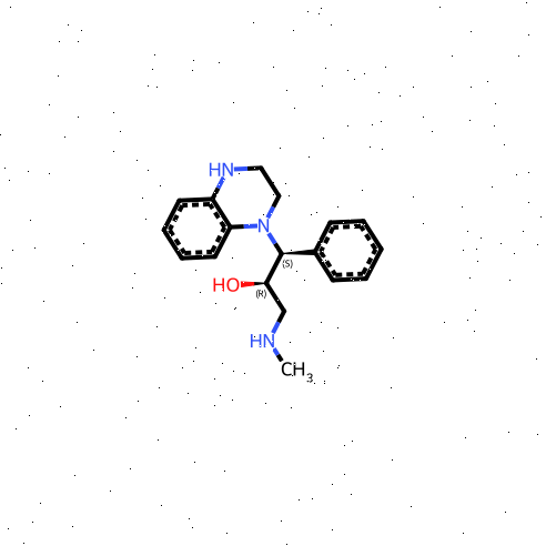 CNC[C@@H](O)[C@H](c1ccccc1)N1CCNc2ccccc21